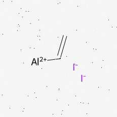 C=[CH][Al+2].[I-].[I-]